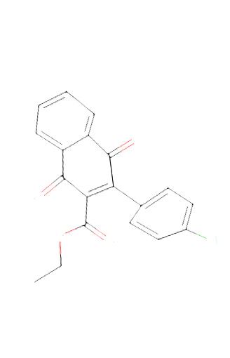 CCOC(=O)C1=C(c2ccc(Cl)cc2)C(=O)c2ccccc2C1=O